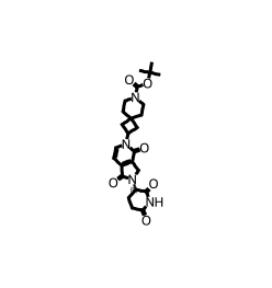 CC(C)(C)OC(=O)N1CCC2(CC1)CC(n1ccc3c(c1=O)CN([C@@H]1CCC(=O)NC1=O)C3=O)C2